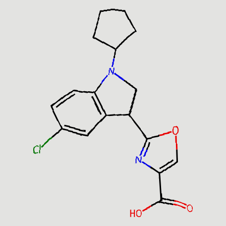 O=C(O)c1coc(C2CN(C3CCCC3)c3ccc(Cl)cc32)n1